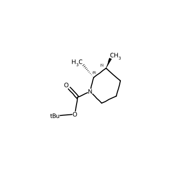 C[C@@H]1[C@@H](C)CCCN1C(=O)OC(C)(C)C